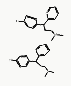 CN(C)CCC(c1ccc(Cl)cc1)c1ccccn1.CN(C)CCC(c1ccc(Cl)cc1)c1ccccn1